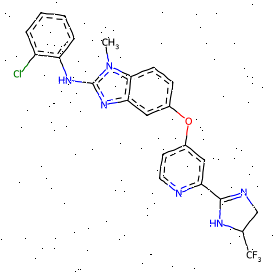 Cn1c(Nc2ccccc2Cl)nc2cc(Oc3ccnc(C4=NCC(C(F)(F)F)N4)c3)ccc21